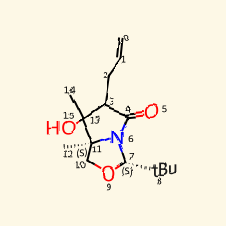 C=CCC1C(=O)N2[C@H](C(C)(C)C)OC[C@@]2(C)C1(C)O